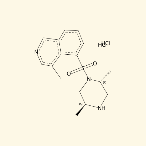 Cc1cncc2cccc(S(=O)(=O)N3C[C@H](C)NC[C@H]3C)c12.Cl.Cl